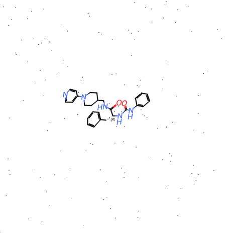 O=C(Nc1ccccc1)N[C@H](Cc1ccccc1)C(=O)NCC1CCN(c2ccncc2)CC1